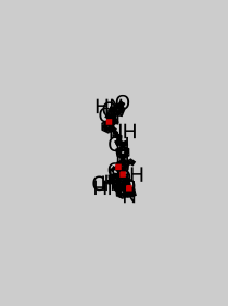 CCc1cc(Nc2ncc(Cl)c(Nc3ccc4nccnc4c3NS(C)(=O)=O)n2)c(OC)cc1N1CCC(N(C)C(=O)CCNc2cccc3c2CN(C2CCC(=O)NC2=O)C3=O)CC1